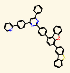 c1ccc(-c2cc(-c3ccc(-c4ccccn4)cc3)nc(-c3ccc(-c4ccc(-c5ccc6sc7ccccc7c6c5)c5oc6ccccc6c45)cc3)n2)cc1